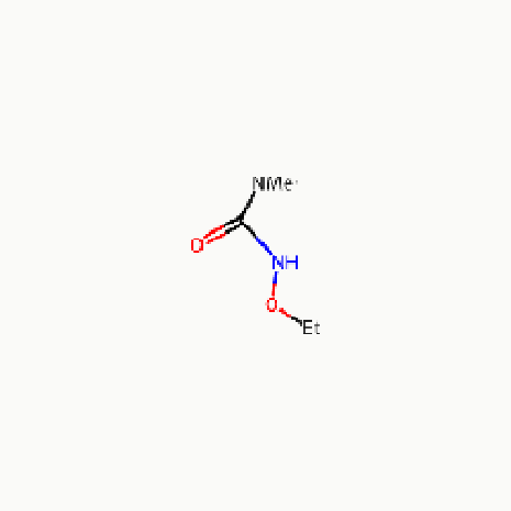 CCONC(=O)[N]C